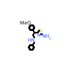 COc1ccc(C(CCNCc2ccccc2)c2csc(N)n2)cc1